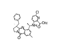 Cc1cc([C@@H](C)Nc2ccc(Cl)nc2C(=O)O)c2nc3n(c(=O)c2c1)CC[C@@]3(C)Cc1ccccc1